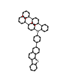 c1ccc(-c2ccc(-c3ccccc3N(c3ccc(-c4ccccc4)cc3)c3ccc(-c4ccc5c(ccc6c7ccccc7sc56)c4)cc3)cc2)cc1